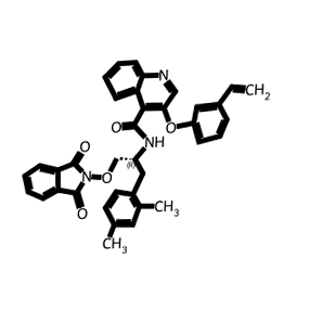 C=Cc1cccc(Oc2cnc3ccccc3c2C(=O)N[C@@H](CON2C(=O)c3ccccc3C2=O)Cc2ccc(C)cc2C)c1